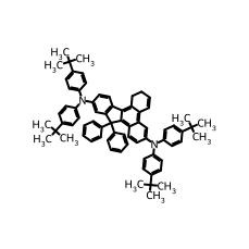 CC(C)(C)c1ccc(N(c2ccc(C(C)(C)C)cc2)c2ccc3c(c2)C(c2ccccc2)(c2ccccc2)c2c-3c3c(c4cc(N(c5ccc(C(C)(C)C)cc5)c5ccc(C(C)(C)C)cc5)ccc24)C=CCC3)cc1